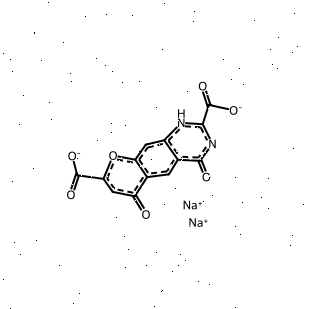 O=C([O-])c1nc(=O)c2cc3c(=O)cc(C(=O)[O-])oc3cc2[nH]1.[Na+].[Na+]